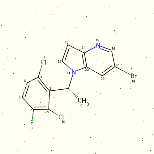 C[C@H](c1c(Cl)ccc(F)c1Cl)n1ccc2ncc(Br)cc21